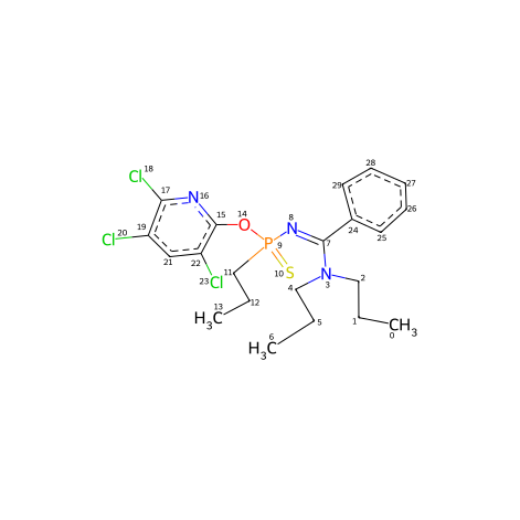 CCCN(CCC)C(=NP(=S)(CCC)Oc1nc(Cl)c(Cl)cc1Cl)c1ccccc1